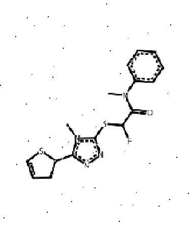 CN(C(=O)C(F)Sc1nnc(C2CC=CS2)n1C)c1ccccc1